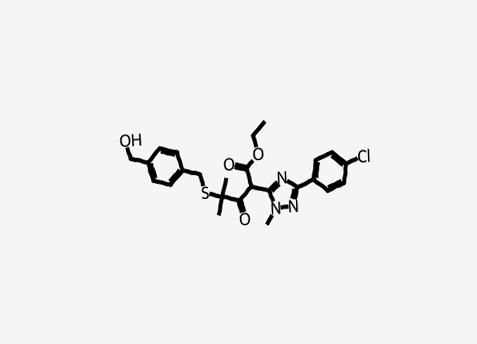 CCOC(=O)C(C(=O)C(C)(C)SCc1ccc(CO)cc1)c1nc(-c2ccc(Cl)cc2)nn1C